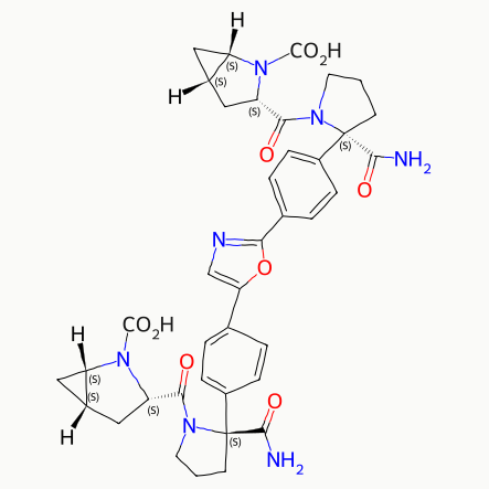 NC(=O)[C@@]1(c2ccc(-c3cnc(-c4ccc([C@]5(C(N)=O)CCCN5C(=O)[C@@H]5C[C@@H]6C[C@@H]6N5C(=O)O)cc4)o3)cc2)CCCN1C(=O)[C@@H]1C[C@@H]2C[C@@H]2N1C(=O)O